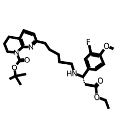 CCOC(=O)C[C@H](NCCCCCc1ccc2c(n1)N(C(=O)OC(C)(C)C)CCC2)c1ccc(OC)c(F)c1